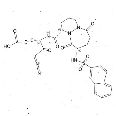 [N-]=[N+]=CC(=O)[C@H](CCC(=O)O)NC(=O)[C@@H]1CCCN2C(=O)CC[C@H](NS(=O)(=O)c3ccc4ccccc4c3)C(=O)N12